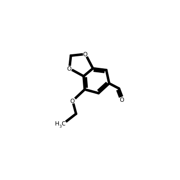 CCOc1cc(C=O)cc2c1OCO2